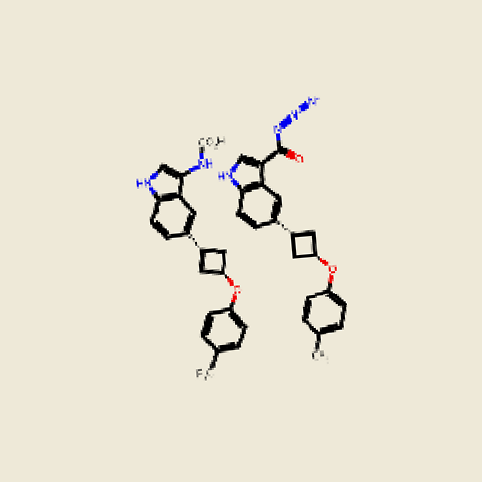 O=C(O)Nc1c[nH]c2ccc([C@H]3C[C@H](Oc4ccc(C(F)(F)F)cc4)C3)cc12.[N-]=[N+]=NC(=O)c1c[nH]c2ccc([C@H]3C[C@H](Oc4ccc(C(F)(F)F)cc4)C3)cc12